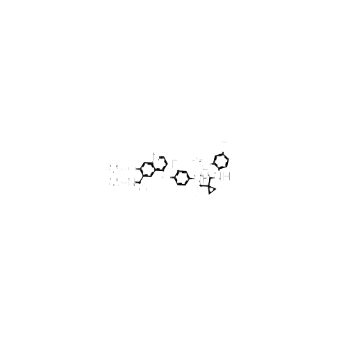 CNC(=O)c1cc2c(Oc3ccc(NC(=O)C4(C(=O)Nc5ccc(F)cc5OC(C)C)CC4)cc3F)ccnc2cc1OC